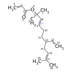 C=CC(=O)OC(C)(C)/C=C/CCC(C=C)CC=C(C)C